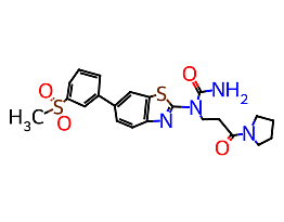 CS(=O)(=O)c1cccc(-c2ccc3nc(N(CCC(=O)N4CCCC4)C(N)=O)sc3c2)c1